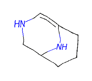 C1=C2CCCC(CN1)N2